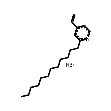 Br.C=Cc1ccnc(CCCCCCCCCCCC)c1